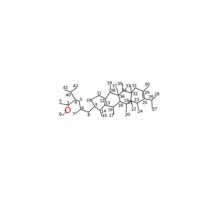 COC(C)C(CC(C)CC1CCC2C(C1C)C(C)C1C(C)C3(C)C(C)C(C(C)C)=C(C)CC3(C)C(C)C1(C)C2C)C(C)C